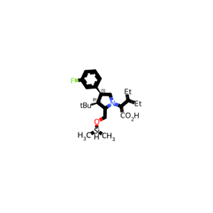 CCC(CC)C(C(=O)O)N1C[C@H](c2cccc(F)c2)[C@H](C(C)(C)C)C1CO[SiH](C)C